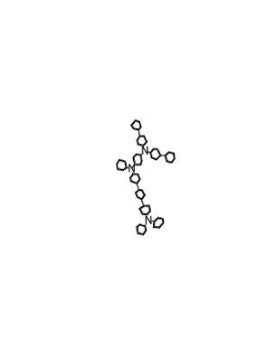 c1ccc(-c2ccc(N(c3ccc(-c4ccccc4)cc3)c3ccc(N(c4ccccc4)c4ccc(-c5ccc(-c6ccc(N(c7ccccc7)c7ccccc7)cc6)cc5)cc4)cc3)cc2)cc1